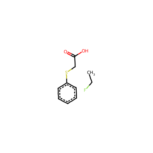 CCF.O=C(O)CSc1ccccc1